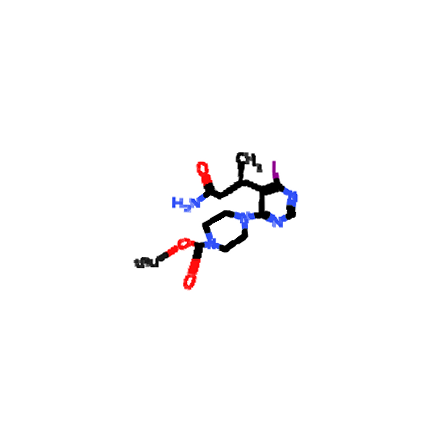 C[C@H](CC(N)=O)c1c(I)ncnc1N1CCN(C(=O)OC(C)(C)C)CC1